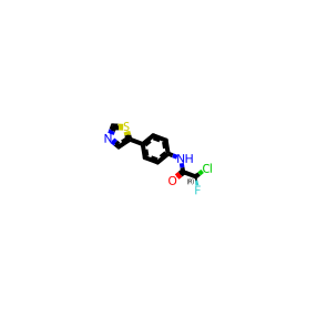 O=C(Nc1ccc(-c2cncs2)cc1)[C@H](F)Cl